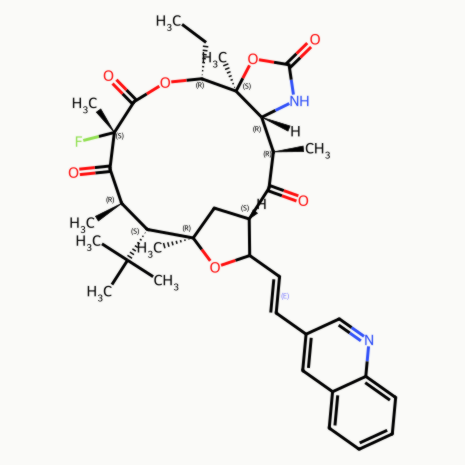 CC[C@H]1OC(=O)[C@@](C)(F)C(=O)[C@H](C)[C@@H](C(C)(C)C)[C@@]2(C)C[C@H](C(=O)[C@H](C)[C@H]3NC(=O)O[C@@]31C)C(/C=C/c1cnc3ccccc3c1)O2